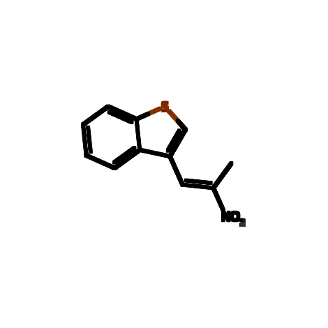 CC(=Cc1csc2ccccc12)[N+](=O)[O-]